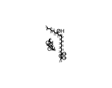 C=CCOCC=C.CCCCCC[C@@H](O)C/C=C\CCCCCCCC(=O)OC(C)=O.OCCO